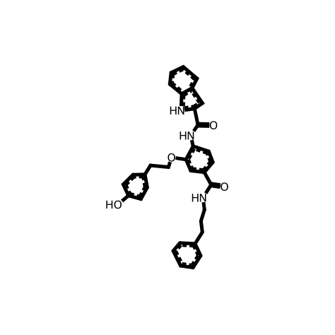 O=C(NCCCc1ccccc1)c1ccc(NC(=O)c2cc3ccccc3[nH]2)c(OCCc2ccc(O)cc2)c1